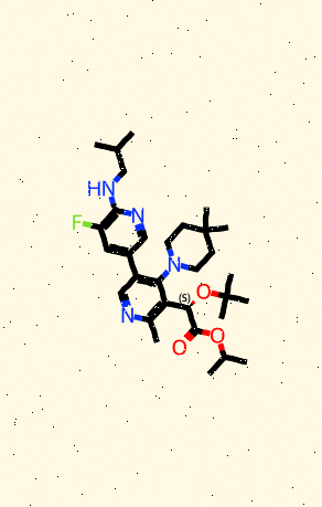 Cc1ncc(-c2cnc(NCC(C)C)c(F)c2)c(N2CCC(C)(C)CC2)c1[C@H](OC(C)(C)C)C(=O)OC(C)C